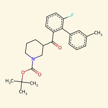 Cc1cccc(-c2c(F)cccc2C(=O)C2CCCN(C(=O)OC(C)(C)C)C2)c1